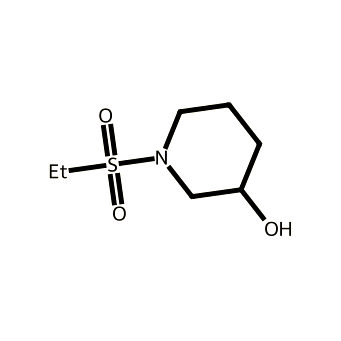 CCS(=O)(=O)N1CCCC(O)C1